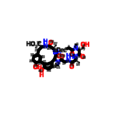 CCCCCCCCCCCC(=O)N(C)[C@H](CO)C(=O)N[C@H](C)C(=O)NCC(=O)N(C)[C@@H]1C(=O)N[C@@H](C)C(=O)N[C@H](C(=O)O)CC2=CC[C@H](O)C(=C2)C2=C(O)C=C[C@H]1C2